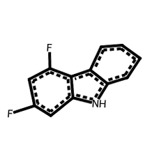 Fc1cc(F)c2c(c1)[nH]c1ccccc12